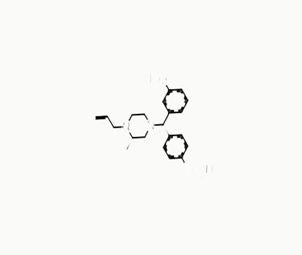 C=CCN1C[C@H](C)N([C@H](c2ccc(C(=O)O)cc2)c2cccc(O)c2)C[C@H]1C